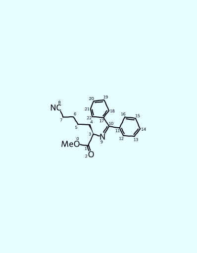 COC(=O)[C@@H](CCCCC#N)N=C(c1ccccc1)c1ccccc1